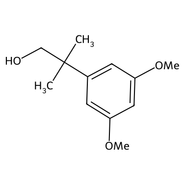 COc1cc(OC)cc(C(C)(C)CO)c1